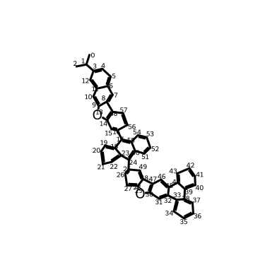 CC(C)c1ccc2cc3c(cc2c1)oc1cc(-c2c4ccccc4c(-c4ccc5oc6cc7c8ccccc8c8ccccc8c7cc6c5c4)c4ccccc24)ccc13